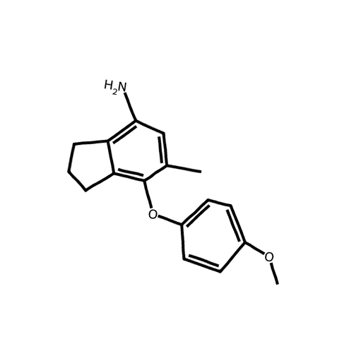 COc1ccc(Oc2c(C)cc(N)c3c2CCC3)cc1